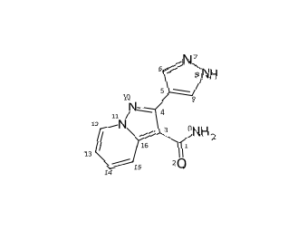 NC(=O)c1c(-c2cn[nH]c2)nn2ccccc12